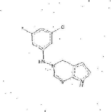 Fc1cc(Cl)cc(NN2[CH]c3cc[nH]c3N=C2)c1